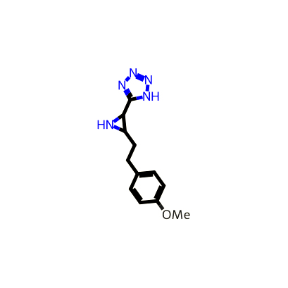 COc1ccc(CCC2NC2c2nnn[nH]2)cc1